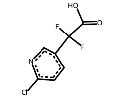 O=C(O)C(F)(F)c1ccc(Cl)nc1